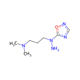 CN(C)CCCN(N)c1ncno1